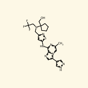 Cc1cn2c(-c3cn[nH]c3)cnc2c(Nc2cc(CN(CC(F)(F)F)C3(CO)CCCC3)ns2)n1